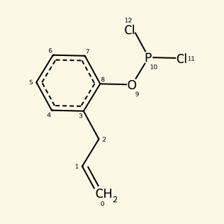 C=CCc1ccccc1OP(Cl)Cl